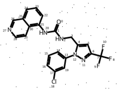 O=C(NCc1cc(C(F)(F)F)nn1-c1cccc(Cl)c1)Nc1cccc2cnccc12